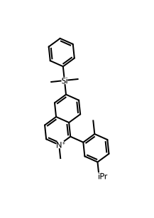 Cc1ccc(C(C)C)cc1-c1c2ccc([Si](C)(C)c3ccccc3)cc2cc[n+]1C